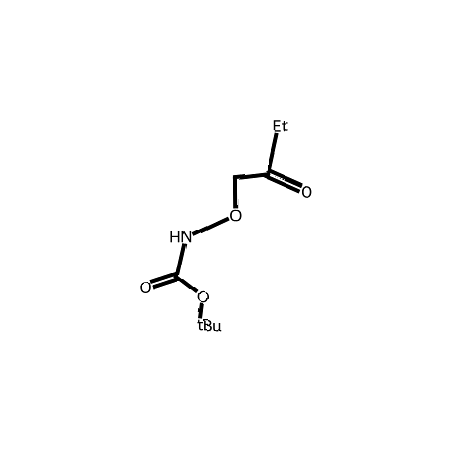 CCC(=O)CONC(=O)OC(C)(C)C